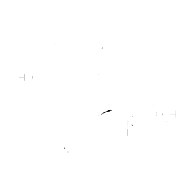 Cc1ccccc1[C@H]1CCNC[C@@H]1CNC(=O)O